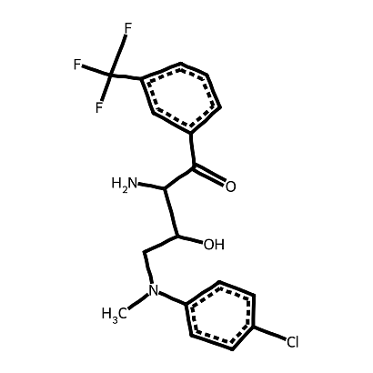 CN(CC(O)C(N)C(=O)c1cccc(C(F)(F)F)c1)c1ccc(Cl)cc1